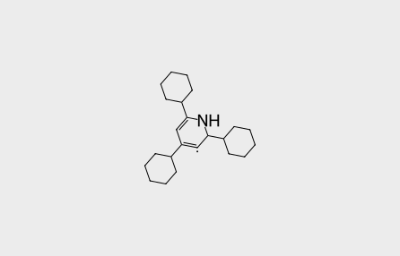 [C]1=C(C2CCCCC2)C=C(C2CCCCC2)NC1C1CCCCC1